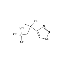 CC(O)(CP(=O)(O)O)c1c[nH]nn1